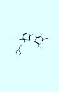 CCN1CC(COc2cc(Nc3cc(NC)nc(C)c3F)ncc2OC)C1